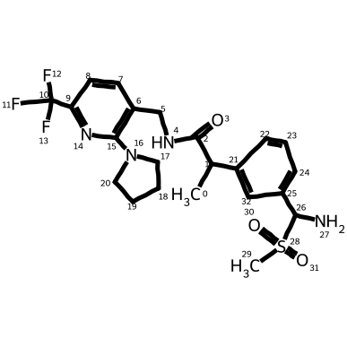 CC(C(=O)NCc1ccc(C(F)(F)F)nc1N1CCCC1)c1cccc(C(N)S(C)(=O)=O)c1